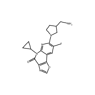 NCC1CCN(c2nc3c(cc2F)c2ocnc2c(=O)n3C2CC2)C1